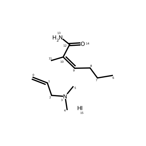 C=CCN(C)C.CCCC=C(C)C(N)=O.I